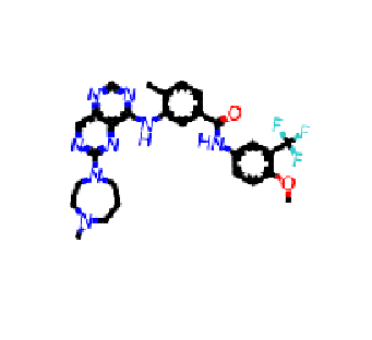 COc1ccc(NC(=O)c2ccc(C)c(Nc3ncnc4cnc(N5CCCN(C)CC5)nc34)c2)cc1C(F)(F)F